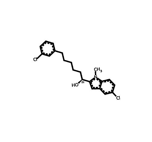 Cn1c([C@@H](O)CCCCCc2cccc(Cl)c2)cc2cc(Cl)ccc21